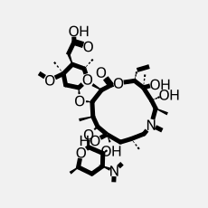 CC[C@H]1OC(=O)[C@H](C)[C@@H](O[C@@H]2C[C@@](C)(OC)[C@@H](CC(=O)O)[C@H](C)O2)[C@H](C)[C@@H](O[C@@H]2O[C@H](C)C[C@H](N(C)C)[C@H]2O)[C@](C)(O)C[C@@H](C)CN(C)[C@H](C)[C@@H](O)[C@]1(C)O